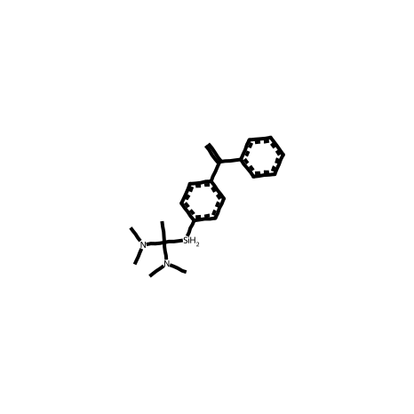 C=C(c1ccccc1)c1ccc([SiH2]C(C)(N(C)C)N(C)C)cc1